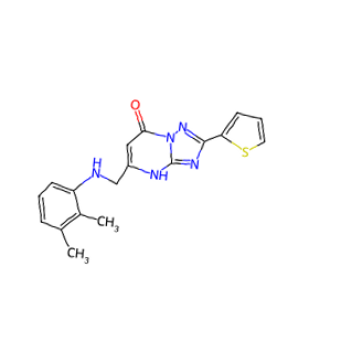 Cc1cccc(NCc2cc(=O)n3nc(-c4cccs4)nc3[nH]2)c1C